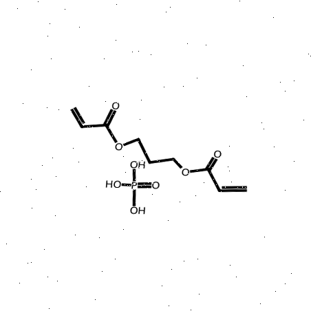 C=CC(=O)OCCCOC(=O)C=C.O=P(O)(O)O